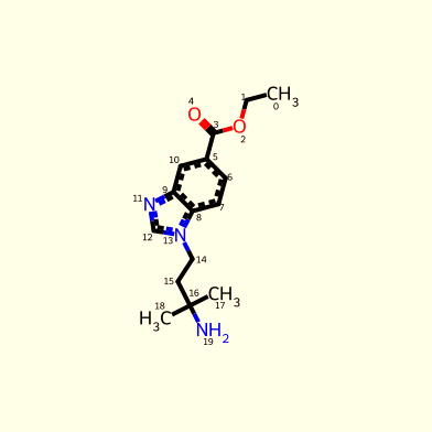 CCOC(=O)c1ccc2c(c1)ncn2CCC(C)(C)N